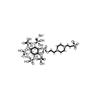 O=P(O)(O)O[C@@H]1[C@@H](OP(=O)(O)O)[C@H](OP(=O)(O)O)[C@@H](OP(=O)(O)OCCN2CCN(CCS(=O)(=O)[O-])CC2)[C@@H](OP(=O)(O)O)[C@H]1OP(=O)(O)O.[Na+]